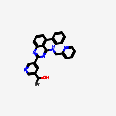 CC(C)C(O)c1cncc(-c2nc(NCc3ccccn3)c3c(-c4ccccc4)cccc3n2)c1